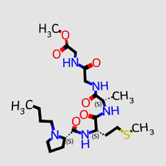 CCCCN1CCC[C@H]1C(=O)N[C@@H](CCSC)C(=O)N[C@@H](C)C(=O)NCC(=O)NCC(=O)OC